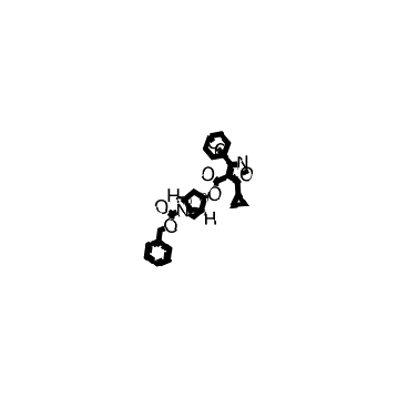 O=C(O[C@@H]1C[C@@H]2C[C@H]1CN2C(=O)OCc1ccccc1)c1c(C23CCC(CC2)CC3)noc1C1CC1